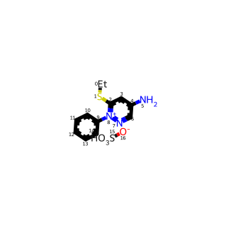 CCSc1cc(N)cn[n+]1-c1ccccc1.O=S(=O)([O-])O